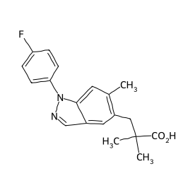 Cc1cc2c(cnn2-c2ccc(F)cc2)cc1CC(C)(C)C(=O)O